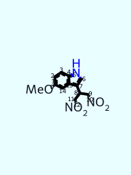 COc1ccc2[nH]cc(C(C[N+](=O)[O-])C[N+](=O)[O-])c2c1